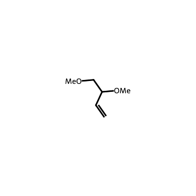 C=CC(COC)OC